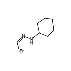 CC(C)/C=N\NC1CCCCC1